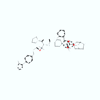 Cc1ncsc1-c1ccc(CNC(=O)[C@@H]2CCCN2C(=O)[C@@H](NC(=O)[C@H]2CC[C@H](c3cnc(N4C5CCC4CN(c4cc(-c6ccccc6O)nnc4N)C5)nc3)CC2)C(C)(C)C)cc1